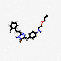 C=CCOCCN(C)c1ccc(/C=C2N=C(/C=C/c3ccccc3C)N(C)C\2=S)cc1